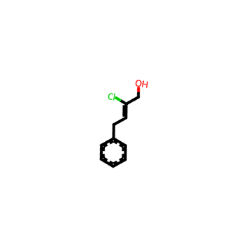 OCC(Cl)=CCc1ccccc1